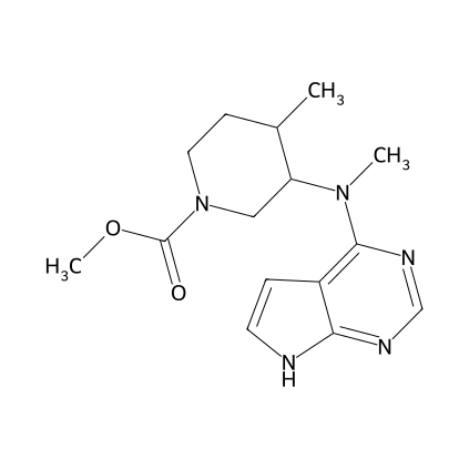 COC(=O)N1CCC(C)C(N(C)c2ncnc3[nH]ccc23)C1